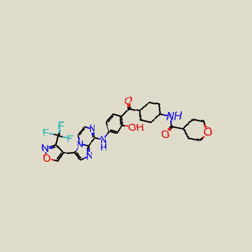 O=C(NC1CCC(C(=O)c2ccc(Nc3nccn4c(-c5conc5C(F)(F)F)cnc34)cc2O)CC1)C1CCOCC1